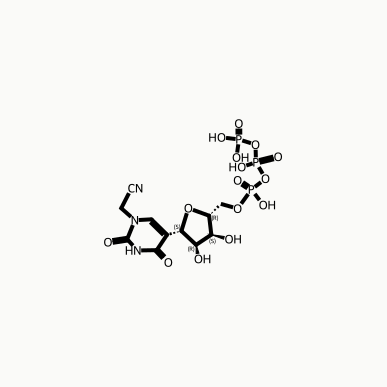 N#CCn1cc([C@@H]2O[C@H](COP(=O)(O)OP(=O)(O)OP(=O)(O)O)[C@@H](O)[C@H]2O)c(=O)[nH]c1=O